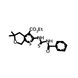 CCOC(=O)c1c(NC(=S)NC(=O)c2ccccc2)sc2c1CC(C)(C)OC2